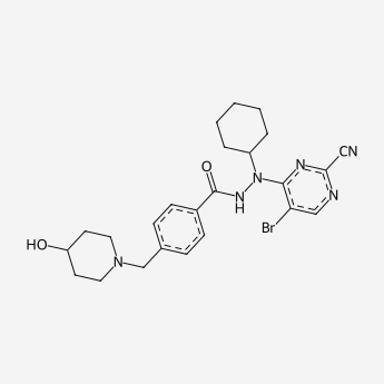 N#Cc1ncc(Br)c(N(NC(=O)c2ccc(CN3CCC(O)CC3)cc2)C2CCCCC2)n1